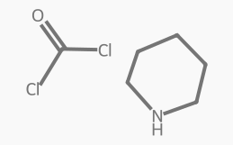 C1CCNCC1.O=C(Cl)Cl